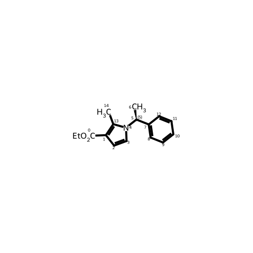 CCOC(=O)c1ccn([C@@H](C)c2ccccc2)c1C